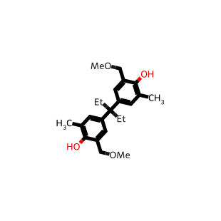 CCC(CC)(c1cc(C)c(O)c(COC)c1)c1cc(C)c(O)c(COC)c1